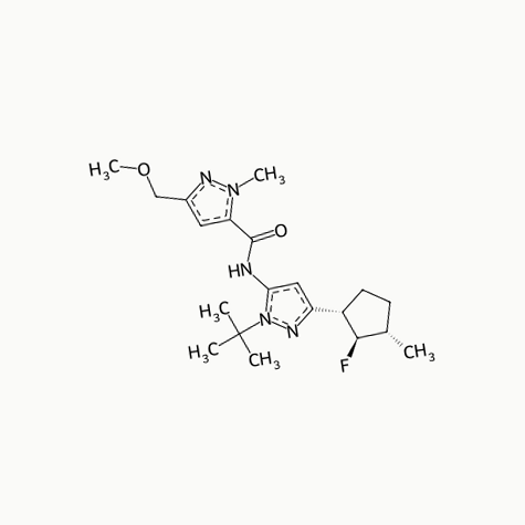 COCc1cc(C(=O)Nc2cc([C@@H]3CC[C@H](C)[C@H]3F)nn2C(C)(C)C)n(C)n1